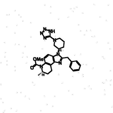 COC(=O)N1c2ccc3c(nc(Cc4ccccc4)n3[C@@H]3CCCN(c4nnn[nH]4)C3)c2CC[C@@H]1C